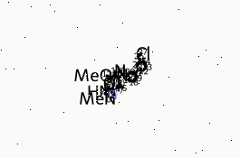 CN/C=C(\N=N)[C@@H]1C[C@H]1c1c(C(=O)OC)cnn1-c1cccc(-c2cccc(CCl)c2)c1